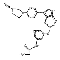 C=CC(=O)Nc1cccc(Oc2cnc3[nH]cc(-c4ccc(N5CCC(C#N)C5)cc4)c3n2)c1